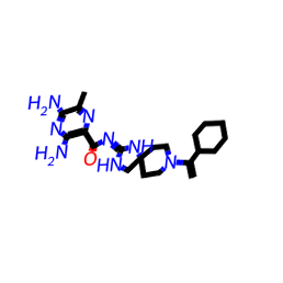 C=C(C1CCCCC1)N1CCC2(CC1)CN/C(=N\C(=O)c1nc(C)c(N)nc1N)N2